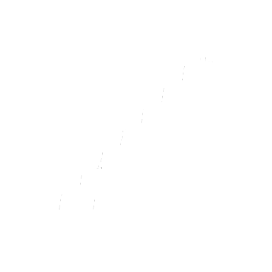 CCCCCCCCCC[N]CC1CCCCC1